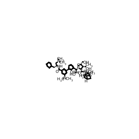 COc1c(-c2cc(C(=O)N[C@@H](Cc3ccccc3)CN(C)C)cc(N(C)C)c2)cccc1[C@H](CO)N1O[C@@H](CO)[C@@H](C(C)O)[C@H]1C(=O)N[C@H]1C[C@H]2C[C@@H]([C@@H]1C)C2(C)C